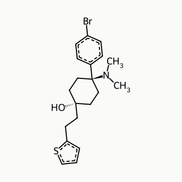 CN(C)[C@]1(c2ccc(Br)cc2)CC[C@](O)(CCc2cccs2)CC1